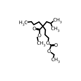 CCCCC(CCCOC(=O)OCC)(CC(C)C)C(=O)OCC